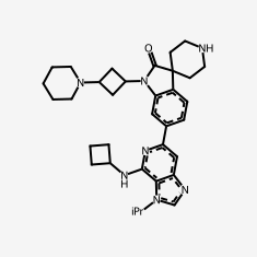 CC(C)n1cnc2cc(-c3ccc4c(c3)N(C3CC(N5CCCCC5)C3)C(=O)C43CCNCC3)nc(NC3CCC3)c21